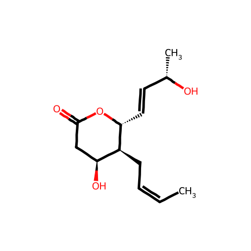 C/C=C\C[C@H]1[C@@H](O)CC(=O)O[C@@H]1/C=C/[C@H](C)O